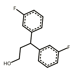 OCCC(c1cccc(F)c1)c1cccc(F)c1